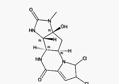 CN1C(=O)N[C@H]2[C@@H]3NC(=O)C4=CC(Cl)C(Cl)N4[C@@H]3C[C@]21O